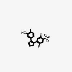 Cc1ccc(C2=C(c3cc(F)c(S(C)(=O)=O)cc3F)CC=C2)cc1C#N